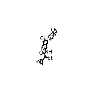 CCC1C(C(=O)Nc2cc3cc(N4CCN(C5(C)CCOC5)CC4)c(Cl)cc3cn2)C1c1cnn(C)c1